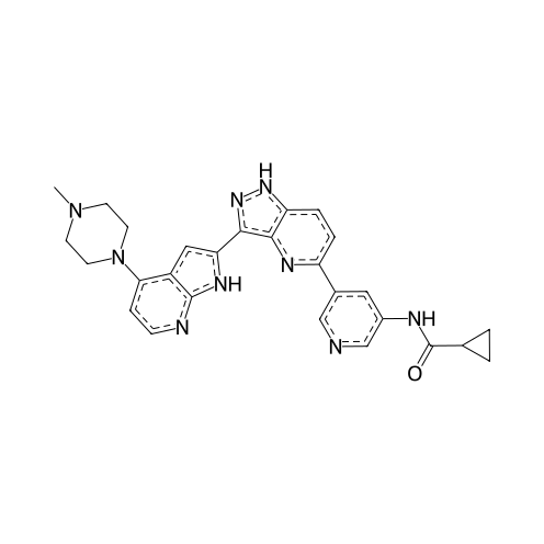 CN1CCN(c2ccnc3[nH]c(-c4n[nH]c5ccc(-c6cncc(NC(=O)C7CC7)c6)nc45)cc23)CC1